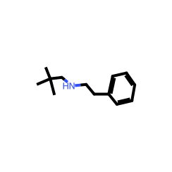 CC(C)(C)CNCCc1ccccc1